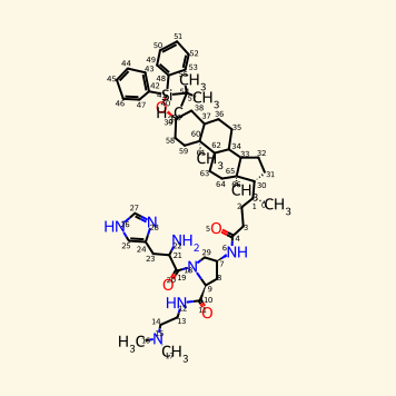 C[C@H](CCC(=O)N[C@H]1C[C@@H](C(=O)NCCN(C)C)N(C(=O)C(N)Cc2c[nH]cn2)C1)[C@H]1CCC2C3CCC4C[C@H](O[Si](c5ccccc5)(c5ccccc5)C(C)(C)C)CC[C@]4(C)C3CC[C@@]21C